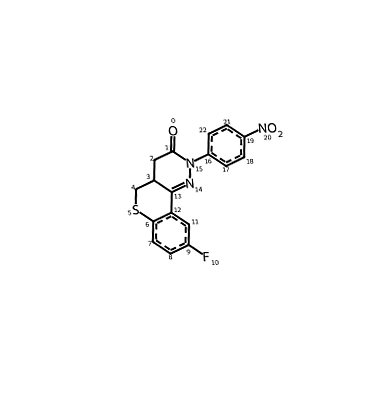 O=C1CC2CSc3ccc(F)cc3C2=NN1c1ccc([N+](=O)[O-])cc1